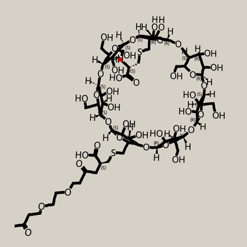 CN[C@H](CSCC1O[C@H]2O[C@@H]3C(CO)O[C@H](O[C@@H]4C(CO)O[C@H](O[C@@H]5C(CO)O[C@H](OC6C(CSC[C@@H](CC(=O)CCOCCOCCC(C)=O)C(=O)O)O[C@H](O[C@@H]7C(CO)O[C@@H](O[C@@H]8C(CO)O[C@@H](O[C@H]1[C@H](O)C2O)C(O)[C@H]8O)C(O)[C@H]7O)C(O)[C@@H]6O)C(O)[C@H]5O)C(O)[C@H]4O)C(O)[C@H]3O)C(=O)O